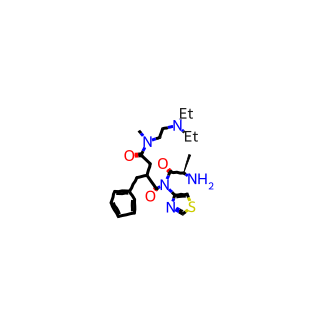 CCN(CC)CCN(C)C(=O)CC(Cc1ccccc1)C(=O)N(C(=O)[C@@H](C)N)c1cscn1